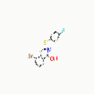 Oc1nc(Sc2ccc(F)cc2)cc2c(Br)cccc12